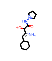 N[C@H](CC1CCCCC1)C(O)C(=O)NN1CCCC1